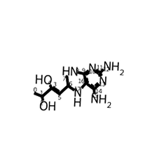 CC(O)C(O)=CC1CNc2nc(N)nc(N)c2N1